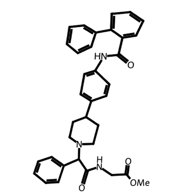 COC(=O)CNC(=O)C(c1ccccc1)N1CCC(c2ccc(NC(=O)c3ccccc3-c3ccccc3)cc2)CC1